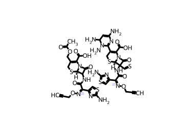 C#CCO/N=C(\C(=O)NC1(C=S)C(=O)N2C(C(=O)O)=C(C3=NC(N)=CC(N)N3N)CS[C@H]21)c1csc(N)n1.C#CCO/N=C(\C(=O)NC1C(=O)N2C(C(=O)O)=C(COC(C)=O)CS[C@@H]12)c1csc(N)n1